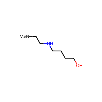 CNCCNCCCCO